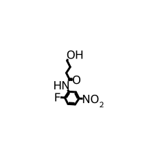 O=C(CCCO)Nc1cc([N+](=O)[O-])ccc1F